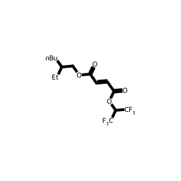 CCCCC(CC)COC(=O)C=CC(=O)OC(C(F)(F)F)C(F)(F)F